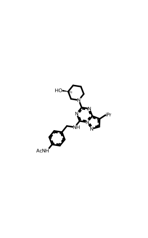 CC(=O)Nc1ccc(CNc2nc(N3CCC[C@H](O)C3)nc3c(C(C)C)cnn23)cc1